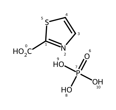 O=C(O)c1nccs1.O=P(O)(O)O